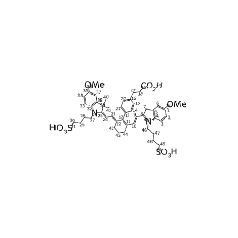 COc1ccc2c(c1)CC(/C=C/C1=C(c3ccc(CCC(=O)O)cc3)C(=C/C=C3/N(CCCCS(=O)(=O)O)c4ccc(OC)cc4C3(C)C)/CCC1)=[N+]2CCCCS(=O)(=O)O